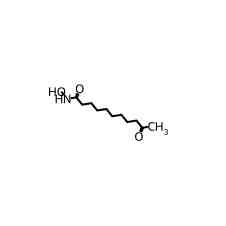 CC(=O)CCCCCCCCC(=O)NO